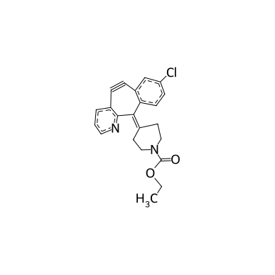 CCOC(=O)N1CCC(=C2c3ccc(Cl)cc3C#Cc3cccnc32)CC1